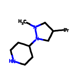 CC(C)C1CN(C)N(C2CCNCC2)C1